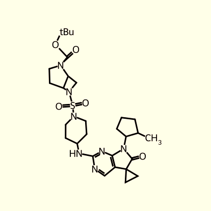 CC1CCCC1N1C(=O)C2(CC2)c2cnc(NC3CCN(S(=O)(=O)N4CC5C4CCN5C(=O)OC(C)(C)C)CC3)nc21